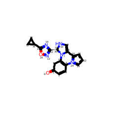 O=C1C=CC2=C(C1)N1C(=CN[C@H]1c1noc(C3CC3)n1)c1cccn12